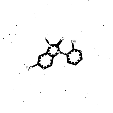 O=c1n(I)c2cc(C(F)(F)F)ccc2n1-c1ccccc1O